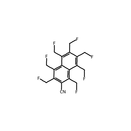 N#Cc1c(CF)c(CF)c2c(CF)c(CF)c(CF)c(CF)c2c1CF